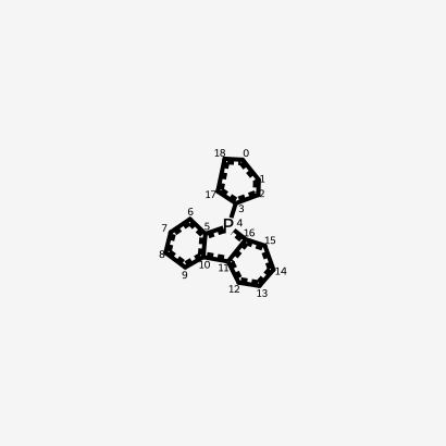 c1ccc(-p2c3ccccc3c3ccccc32)cc1